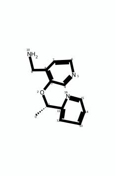 C[C@H](Oc1cnccc1CN)c1ccccn1